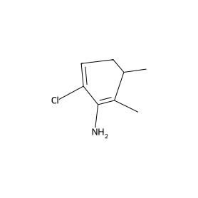 CC1=C(N)C(Cl)=CCC1C